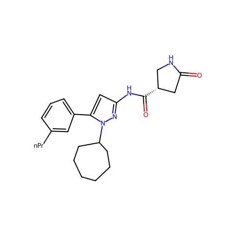 CCCc1cccc(-c2cc(NC(=O)[C@@H]3CNC(=O)C3)nn2C2CCCCCC2)c1